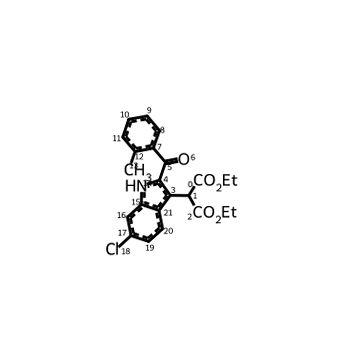 CCOC(=O)C(C(=O)OCC)c1c(C(=O)c2ccccc2C)[nH]c2cc(Cl)ccc12